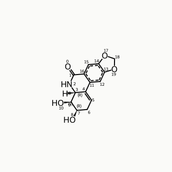 O=C1N[C@@H]2C(=CC[C@@H](O)[C@H]2O)c2cc3c(cc21)OCO3